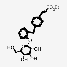 CCOC(=O)/C=C/c1ccc(Cc2ccccc2O[C@H]2O[C@H](CO)[C@@H](O)[C@H](O)[C@H]2O)cc1